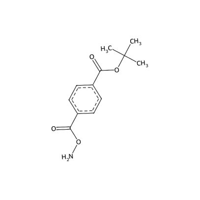 CC(C)(C)OC(=O)c1ccc(C(=O)ON)cc1